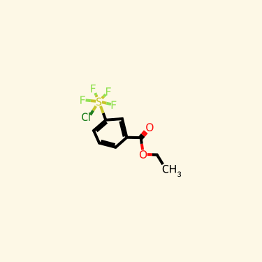 CCOC(=O)c1cccc(S(F)(F)(F)(F)Cl)c1